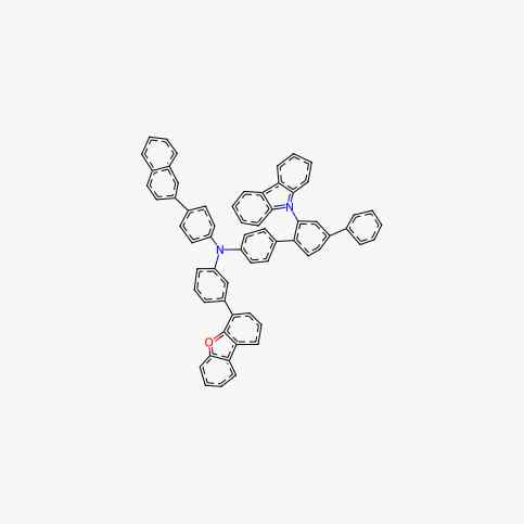 c1ccc(-c2ccc(-c3ccc(N(c4ccc(-c5ccc6ccccc6c5)cc4)c4cccc(-c5cccc6c5oc5ccccc56)c4)cc3)c(-n3c4ccccc4c4ccccc43)c2)cc1